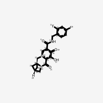 O=C(NCc1ccc(F)cc1F)c1cn2c(c(O)c1=O)C(=O)N1C[C@H]3C[C@]1(C2)C3